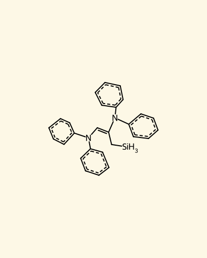 [SiH3]CC(=CN(c1ccccc1)c1ccccc1)N(c1ccccc1)c1ccccc1